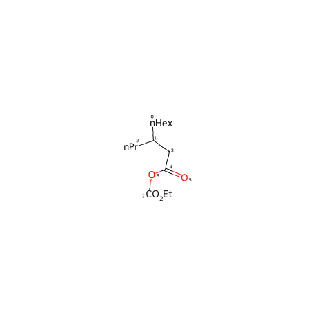 CCCCCCC(CCC)CC(=O)OC(=O)OCC